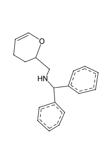 C1=COC(CNC(c2ccccc2)c2ccccc2)CC1